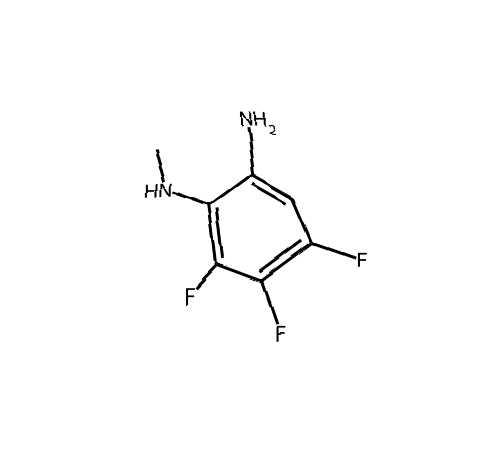 CNc1c(N)cc(F)c(F)c1F